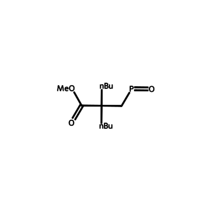 CCCCC(CCCC)(CP=O)C(=O)OC